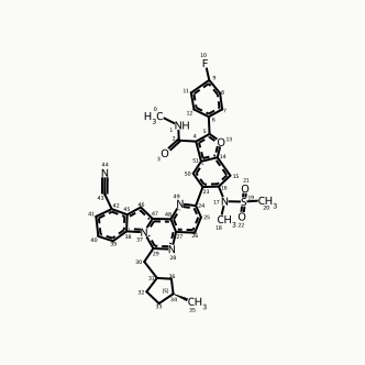 CNC(=O)c1c(-c2ccc(F)cc2)oc2cc(N(C)S(C)(=O)=O)c(-c3ccc4nc(CC5CC[C@H](C)C5)n5c6cccc(C#N)c6cc5c4n3)cc12